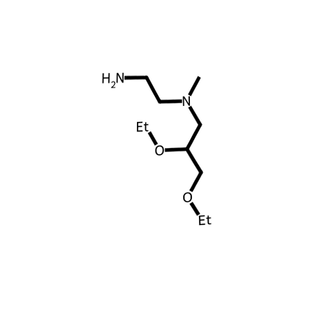 CCOCC(CN(C)CCN)OCC